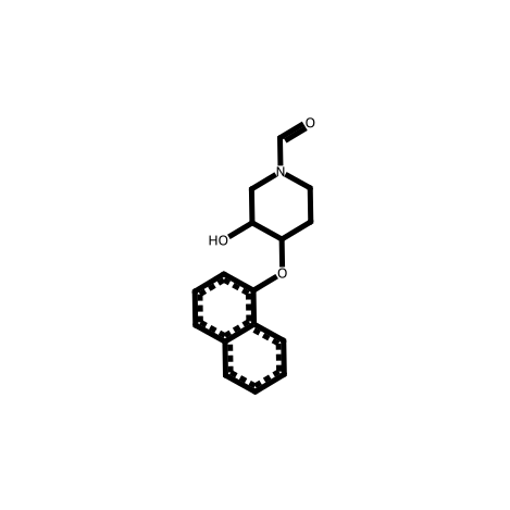 O=CN1CCC(Oc2cccc3ccccc23)C(O)C1